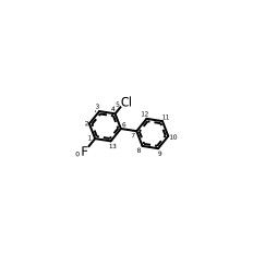 Fc1c[c]c(Cl)c(-c2ccccc2)c1